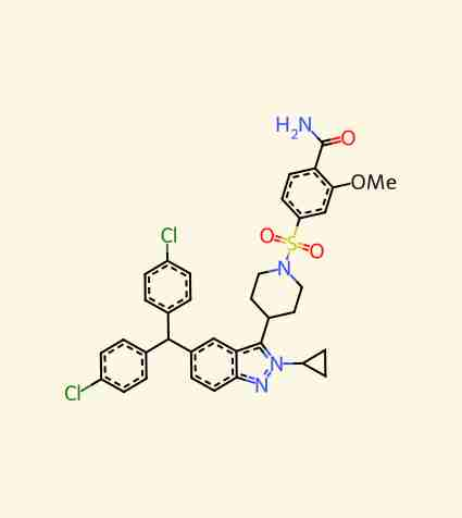 COc1cc(S(=O)(=O)N2CCC(c3c4cc(C(c5ccc(Cl)cc5)c5ccc(Cl)cc5)ccc4nn3C3CC3)CC2)ccc1C(N)=O